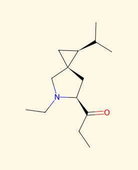 CCC(=O)[C@@H]1C[C@]2(C[C@H]2C(C)C)CN1CC